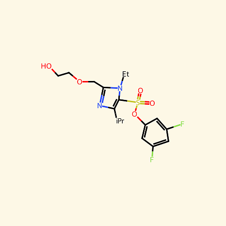 CCn1c(COCCO)nc(C(C)C)c1S(=O)(=O)Oc1cc(F)cc(F)c1